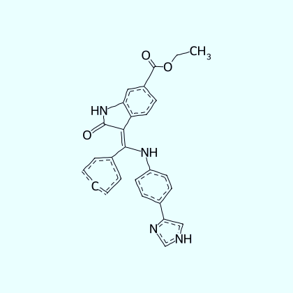 CCOC(=O)c1ccc2c(c1)NC(=O)C2=C(Nc1ccc(-c2c[nH]cn2)cc1)c1ccccc1